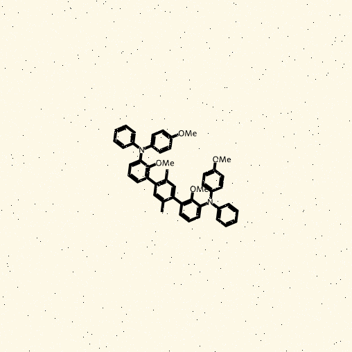 COc1ccc(N(c2ccccc2)c2cccc(-c3cc(C)c(-c4cccc(N(c5ccccc5)c5ccc(OC)cc5)c4OC)cc3C)c2OC)cc1